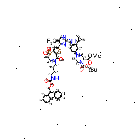 COC(=O)C1CN(c2ccc(Nc3ncc(C(F)(F)F)c(-c4cc5c(s4)C(=O)N(CCCCNC(=O)OCC4c6ccccc6-c6ccccc64)CCS5(=O)=O)n3)c(C3CC3)c2)CCN1C(=O)OC(C)(C)C